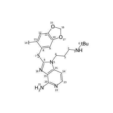 CC(C)(C)NCCCn1c(Sc2cc3c(cc2I)OCO3)nc2c(N)nccc21